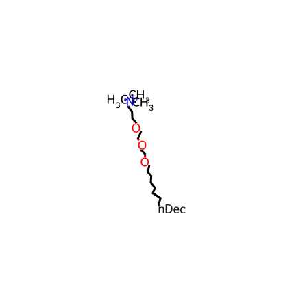 CCCCCCCCCCCCCCCCCCOCCOCCOCCCC[N+](C)(C)C